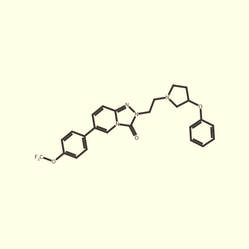 O=c1n(CCN2CCC(Oc3ccccc3)C2)nc2ccc(-c3ccc(OC(F)(F)F)cc3)cn12